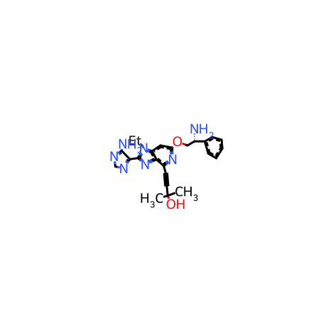 CCn1c(C2=NCN=C2N)nc2c(C#CC(C)(C)O)nc(OC[C@H](N)c3ccccc3)cc21